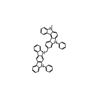 Cn1c2ccccc2c2c3c4ccc(Cn5c6ccccc6c6cc7c8ccccc8n(-c8ccccc8)c7cc65)cc4n(-c4ccccc4)c3ccc21